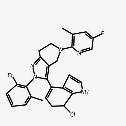 CCc1cccc(C)c1-n1nc2c(c1C1=CCC(Cl)c3[nH]ccc31)CN(c1ncc(F)cc1C)CC2